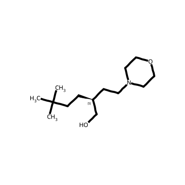 CC(C)(C)CC[C@H](CO)CCN1CCOCC1